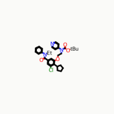 CCN(C(=O)c1cc(Cl)c(C2CCCC2)c(OCCN(C(=O)OC(C)(C)C)c2ccncc2)c1)c1ccccc1